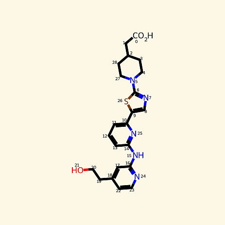 O=C(O)CC1CCN(c2ncc(-c3cccc(Nc4cc(CCO)ccn4)n3)s2)CC1